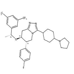 C[C@@H](O[C@H]1Cc2nnc(C3CCC(N4CCCC4)CC3)n2C[C@@H]1c1ccc(F)cc1)c1cc(C(F)(F)F)cc(C(F)(F)F)c1